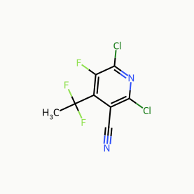 CC(F)(F)c1c(F)c(Cl)nc(Cl)c1C#N